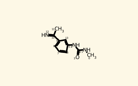 CNC(=O)Nc1cccc(C(C)=N)c1